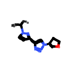 CC(C)n1ccc(-c2cn([C@H]3CCOC3)nn2)n1